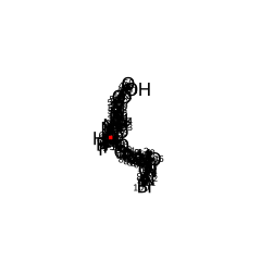 CC(C)C1=C2[C@H]3CCC4[C@@]5(C)CC[C@H](OC(=O)CC(C)(Cc6nc(-c7nnc([C@@]89CC[C@]%10(C)[C@H](CCC%11[C@@]%12(C)CC[C@H](OC(=O)CC(C)(C)C(=O)O)C(C)(C)C%12CC[C@]%11%10C)C8=C(C(C)C)C(=O)C9)o7)ccc6C(F)(F)F)C(=O)O)C(C)(C)C5CC[C@@]4(C)[C@]3(C)CC[C@@]2(c2nnc(-c3ccc(Br)cn3)o2)CC1=O